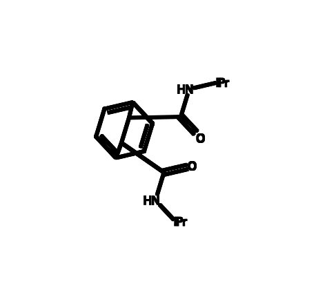 CC(C)NC(=O)C1c2ccc(cc2)C1C(=O)NC(C)C